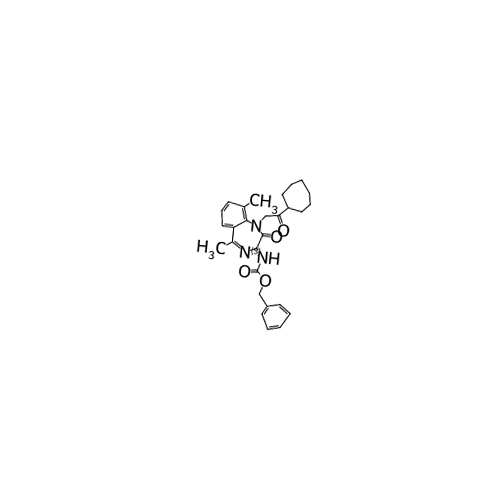 CC1=N[C@H](NC(=O)OCc2ccccc2)C(=O)N(CC(=O)C2CCCCCC2)c2c(C)cccc21